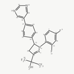 OC(C1=NN(c2ccc(F)cc2F)C(c2ccc(-c3cncnc3)cc2)C1)(C(F)(F)F)C(F)(F)F